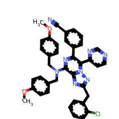 COc1ccc(CN(Cc2ccc(OC)cc2)c2nc(-c3cccc(C#N)c3)c(-c3ccncn3)n3nc(Cc4ccccc4Cl)nc23)cc1